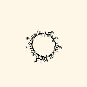 C/C=C/C[C@@H](C)[C@@H](O)[C@@H]1C(=O)N[C@H](C(C)C)C(=O)N(C)CC(=O)N(C)[C@@H](CC(C)C)C(=O)N[C@H](C(C)C)C(=O)N(C)[C@H](CC(C)C)C(=O)N[C@H](C)C(=O)N[C@@H](C)C(=O)N(C)[C@H](CC(C)C)C(=O)N(C)[C@H](CC(C)C)C(=O)N(C)[C@H](C(C)C)C(=O)N1C